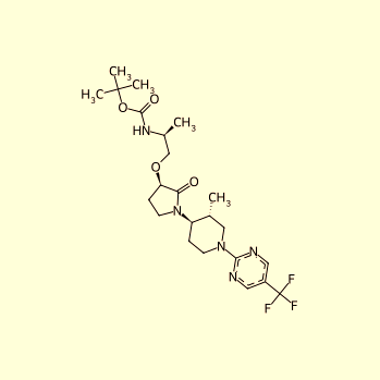 C[C@@H]1CN(c2ncc(C(F)(F)F)cn2)CC[C@H]1N1CC[C@@H](OC[C@H](C)NC(=O)OC(C)(C)C)C1=O